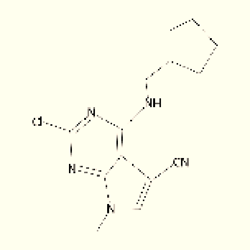 Cn1cc(C#N)c2c(NCC3CCCC3)nc(Cl)nc21